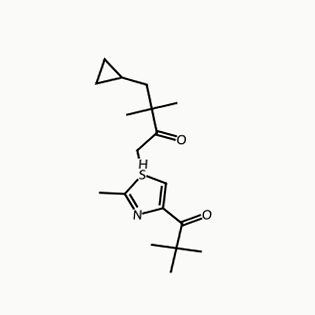 CC1=NC(C(=O)C(C)(C)C)=C[SH]1CC(=O)C(C)(C)CC1CC1